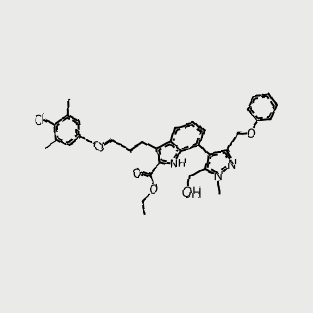 CCOC(=O)c1[nH]c2c(-c3c(COc4ccccc4)nn(C)c3CO)cccc2c1CCCOc1cc(C)c(Cl)c(C)c1